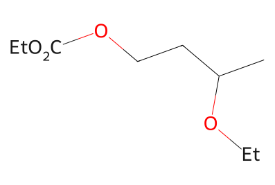 CCOC(=O)OCCC(C)OCC